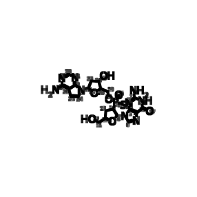 Nc1nc2c(ncn2[C@@H]2OC(CO)C[C@H]2P(=O)(S)OCC2O[C@@H](n3ccc4c(N)ncnc43)C[C@@H]2O)c(=O)[nH]1